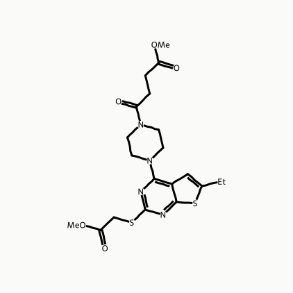 CCc1cc2c(N3CCN(C(=O)CCC(=O)OC)CC3)nc(SCC(=O)OC)nc2s1